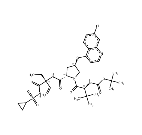 C=C[C@@](CC)(NC(=O)[C@@H]1C[C@@H](Oc2ccnc3cc(Cl)ccc23)CN1C(=O)[C@@H](NC(=O)OC(C)(C)C)C(C)(C)C)C(=O)NS(=O)(=O)C1CC1